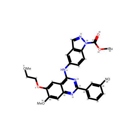 COCCOc1cc2c(Nc3ccc4c(cnn4C(=O)OC(C)(C)C)c3)nc(-c3cccc(N=O)c3)nc2cc1OC